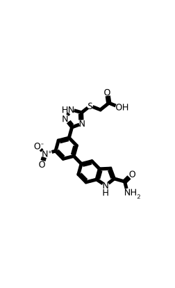 NC(=O)c1cc2cc(-c3cc(-c4n[nH]c(SCC(=O)O)n4)cc([N+](=O)[O-])c3)ccc2[nH]1